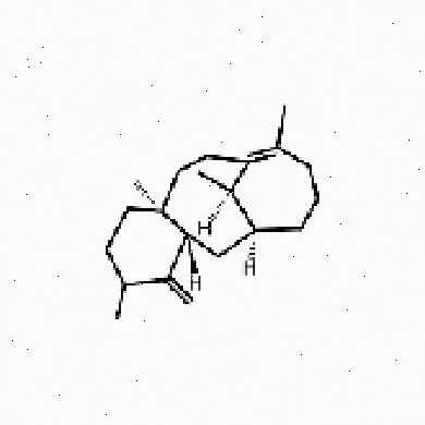 C=C1C(C)CC[C@@]2(C)CCC3=C(C)CCC[C@@H](C[C@H]12)[C@H]3C